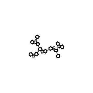 c1ccc(-c2cc(-n3c4ccccc4c4ccccc43)c3oc4ccc(-c5ccc6sc7c(-c8ccc9oc%10ccccc%10c9c8)cc(-c8ccc9c(c8)c8ccccc8n9-c8ccccc8)cc7c6c5)cc4c3c2)cc1